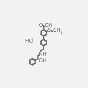 CCSc1cc(-c2ccc(CCNC[C@@H](O)c3ccccc3)cc2)ccc1C(=O)O.Cl